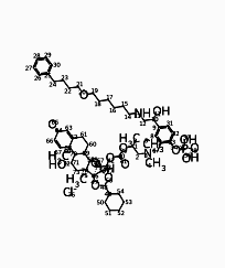 CC(C[N+](C)(C)Cc1cc(C(O)CNCCCCCCOCCCCc2ccccc2)ccc1OP(=O)(O)O)OC(=O)OCC(=O)[C@@]12O[C@H](C3CCCCC3)O[C@H]1CC1C3CCC4=CC(=O)C=C[C@]4(C)C3[C@@H](O)C[C@@]12C.[Cl-]